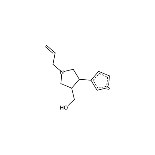 C=CCN1CC(CO)C(c2ccsc2)C1